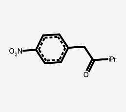 CC(C)C(=O)Cc1ccc([N+](=O)[O-])cc1